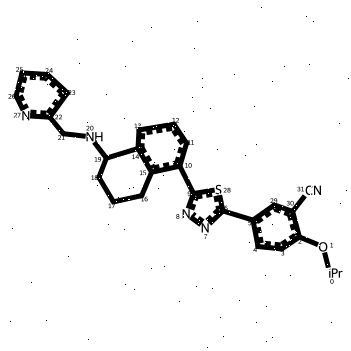 CC(C)Oc1ccc(-c2nnc(-c3cccc4c3CCCC4NCc3ccccn3)s2)cc1C#N